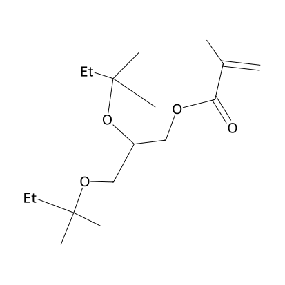 C=C(C)C(=O)OCC(COC(C)(C)CC)OC(C)(C)CC